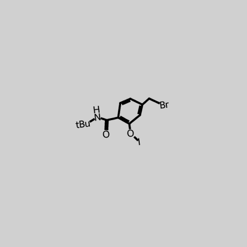 CC(C)(C)NC(=O)c1ccc(CBr)cc1OI